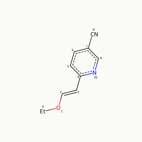 CCOC=Cc1ccc(C#N)cn1